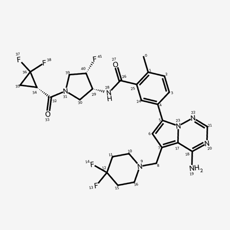 Cc1ccc(-c2cc(CN3CCC(F)(F)CC3)c3c(N)ncnn23)cc1C(=O)N[C@@H]1CN(C(=O)[C@@H]2CC2(F)F)C[C@@H]1F